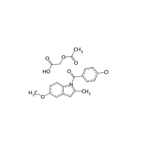 CC(=O)OCC(=O)O.COc1ccc2c(c1)cc(C)n2C(=O)c1ccc(Cl)cc1